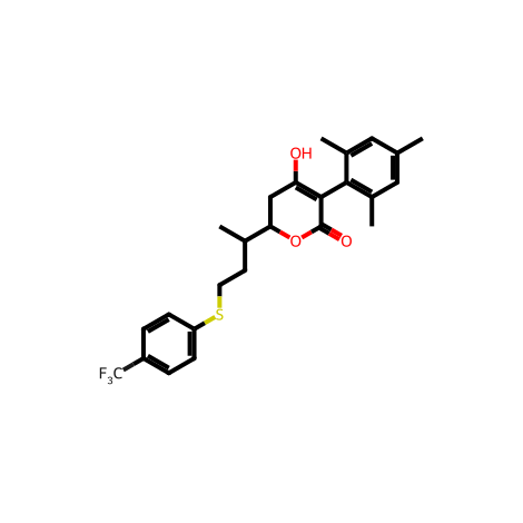 Cc1cc(C)c(C2=C(O)CC(C(C)CCSc3ccc(C(F)(F)F)cc3)OC2=O)c(C)c1